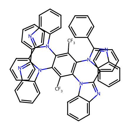 FC(F)(F)c1c(-n2c(-c3ccccc3)nc3ccccc32)c(-n2c(-c3ccccc3)nc3ccccc32)c(C(F)(F)F)c(-n2c(-c3ccccc3)nc3ccccc32)c1-n1c(-c2ccccc2)nc2ccccc21